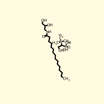 CCCCCCCCCCCCCCCC(=O)NCC(O)CO.C[N+](C)(C)C(CO)P(=O)(O)O